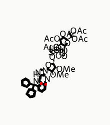 CO[C@@H]1[C@H](OC)[C@@H](COP(O)(=S)OP(=O)(O)O[C@@H]2O[C@H](C(COC(C)=O)OC(C)=O)[C@@H](OC(C)=O)[C@H](OC(C)=O)[C@@H]2OC(C)=O)O[C@H]1n1cnc2c(NC(c3ccccc3)(c3ccccc3)c3ccccc3)ncnc21